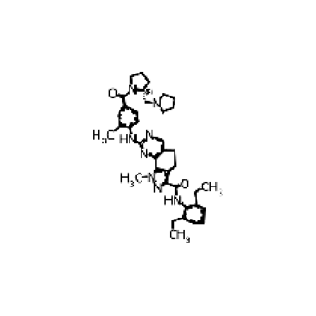 CCc1cccc(CC)c1NC(=O)c1nn(C)c2c1CCc1cnc(Nc3ccc(C(=O)N4CCC[C@@H]4CN4CCCC4)cc3C)nc1-2